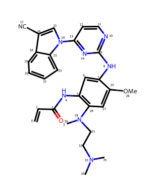 C=CC(=O)Nc1cc(Nc2nccc(-n3cc(C#N)c4ccccc43)n2)c(OC)cc1N(C)CCN(C)C